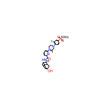 CNS(=O)(=O)c1ccc(N2CCN(c3cccc(C(=O)N[C@H]4C5CC6CC4C[C@](O)(C6)C5)n3)[C@H](C)C2)c(F)c1